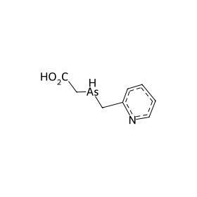 O=C(O)C[AsH]Cc1ccccn1